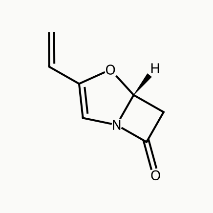 C=CC1=CN2C(=O)C[C@H]2O1